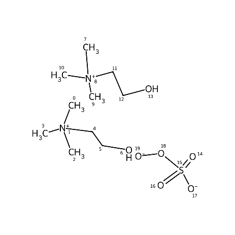 C[N+](C)(C)CCO.C[N+](C)(C)CCO.O=S(=O)([O-])O[O-]